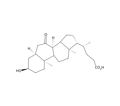 C[C@H](CCC(=O)O)[C@H]1CCC2[C@@H]3C(=O)C[C@@H]4C[C@H](O)CC[C@]4(C)C3CC[C@@]21C